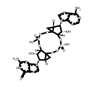 Nc1nc2c(ncn2[C@H]2[C@H](O)[C@@H]3OP(=O)(O)OCC45C[C@@H]4[C@@H](n4cnc6c(N)ncnc64)[C@H](O)[C@@H]5O[P@](=O)(S)OCC34C[C@H]24)c(=O)[nH]1